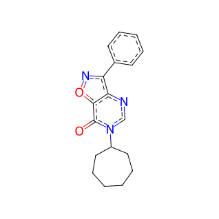 O=c1c2onc(-c3ccccc3)c2ncn1C1CCCCCC1